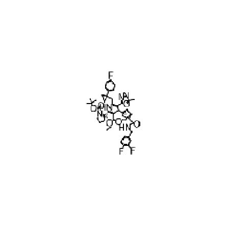 CCOC(=O)C1=C([C@@H]2CCCN2C(=O)OC(C)(C)C)NC(CC2(c3ccc(F)cc3)CC2)=C(c2nnc(C)o2)C1c1ccc(C(=O)NCc2ccc(F)c(F)c2)s1